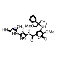 COCC(C)(Nc1cc(C(=O)Nc2nnc(N/C(C)=C\C=N)s2)oc(=O)c1OC)c1ccccc1